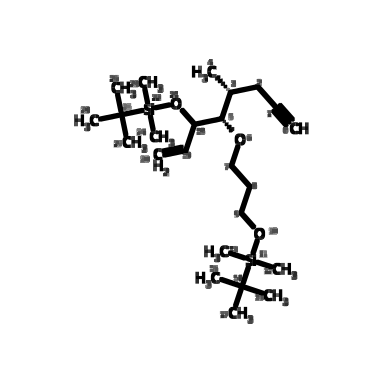 C#CC[C@@H](C)[C@H](OCCCO[Si](C)(C)C(C)(C)C)C(C=C)O[Si](C)(C)C(C)(C)C